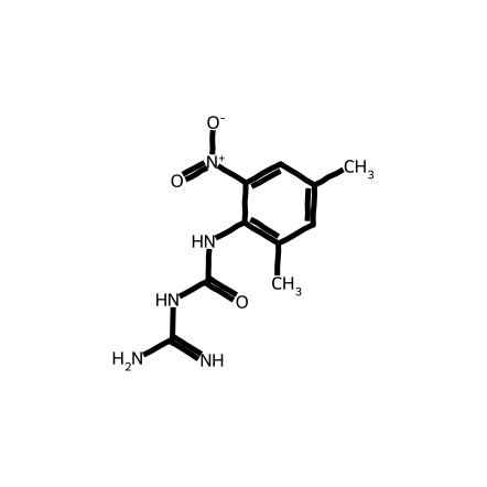 Cc1cc(C)c(NC(=O)NC(=N)N)c([N+](=O)[O-])c1